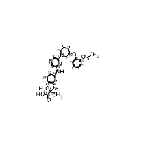 CCOc1ccccc1O[C@@H]1CCCN(c2cncc(Nc3cccc(CC(C)(C)C(=O)O)n3)n2)C1